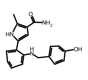 Cc1[nH]c(-c2ccccc2NCc2ccc(O)cc2)cc1C(N)=O